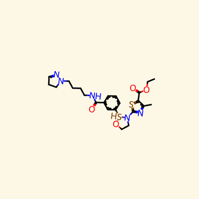 CCOC(=O)c1sc(N2CCO[SH]2c2cccc(C(=O)NCCCCN3CCC=N3)c2)nc1C